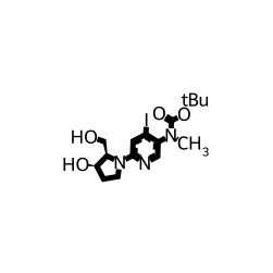 CN(C(=O)OC(C)(C)C)c1cnc(N2CC[C@H](O)[C@H]2CO)cc1I